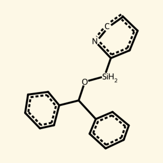 c1ccc(C(O[SiH2]c2ccccn2)c2ccccc2)cc1